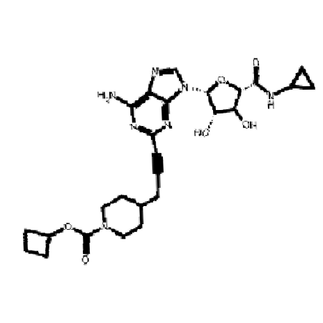 Nc1nc(C#CCC2CCN(C(=O)OC3CCC3)CC2)nc2c1ncn2[C@@H]1O[C@H](C(=O)NC2CC2)C(O)[C@@H]1O